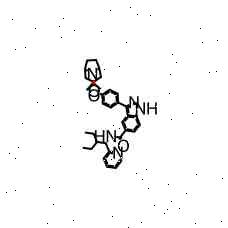 CCC(CC)C(NC(=O)c1ccc2[nH]nc(-c3ccc(OC4CC5CCC(C4)N5C4COC4)cc3)c2c1)c1ccccn1